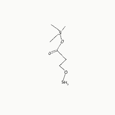 C[Si](C)(C)OC(=O)CCO[SiH3]